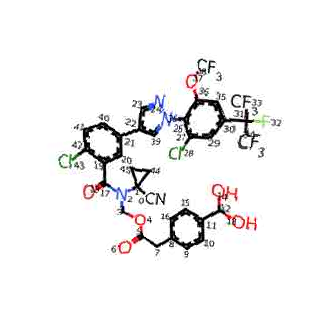 N#CC1(N(COC(=O)Cc2ccc(C(O)O)cc2)C(=O)c2cc(-c3cnn(-c4c(Cl)cc(C(F)(C(F)(F)F)C(F)(F)F)cc4OC(F)(F)F)c3)ccc2Cl)CC1